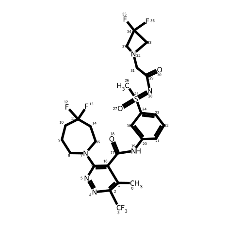 Cc1c(C(F)(F)F)nnc(N2CCCC(F)(F)CC2)c1C(=O)Nc1cccc(S(C)(=O)=NC(=O)CN2CC(F)(F)C2)c1